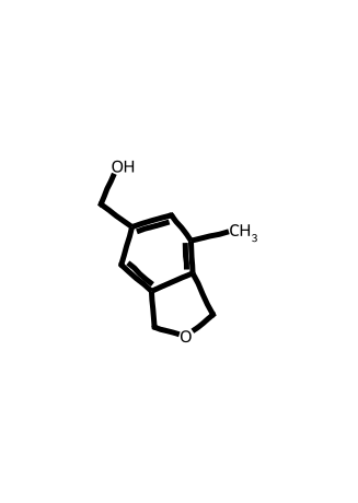 Cc1cc(CO)cc2c1COC2